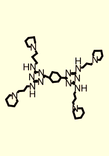 C1CCN(CCCNc2nc(NCCCN3CCCCC3)nc(C3CCC(c4nc(NCCCN5CCCCC5)nc(NCCCN5CCCCC5)n4)CC3)n2)CC1